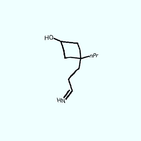 CCCC1(CCC=N)CC(O)C1